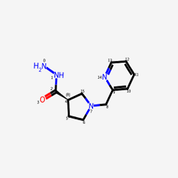 NNC(=O)[C@@H]1CCN(Cc2ccccn2)C1